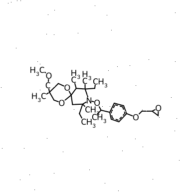 CCC1(C)CC2(OCC(C)(COC)CO2)C(C)C(C)(CC)N1OC(C)c1ccc(OCC2CO2)cc1